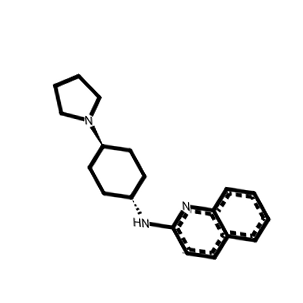 [c]1cc2ccccc2nc1N[C@H]1CC[C@H](N2CCCC2)CC1